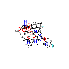 C#Cc1c(F)ccc2cc(OP(=O)(N[C@@H](C)C(=O)OC(C)C)OC(C)C)cc(N3Cc4nc(OC[C@]5(C)C[C@@H](F)CN5C)nc(N(C)C[C@@H]5CCCN5C(=O)C=C)c4OC3=O)c12